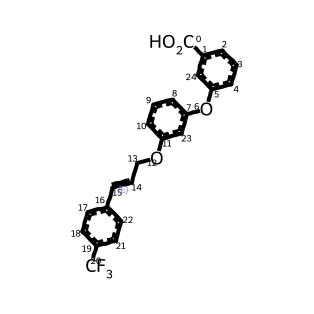 O=C(O)c1cccc(Oc2cccc(OC/C=C/c3ccc(C(F)(F)F)cc3)c2)c1